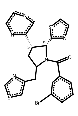 O=C(c1cccc(Br)c1)N1C(Cc2cscn2)C[C@H](c2cnccn2)[C@@H]1c1nccs1